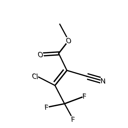 COC(=O)/C(C#N)=C(\Cl)C(F)(F)F